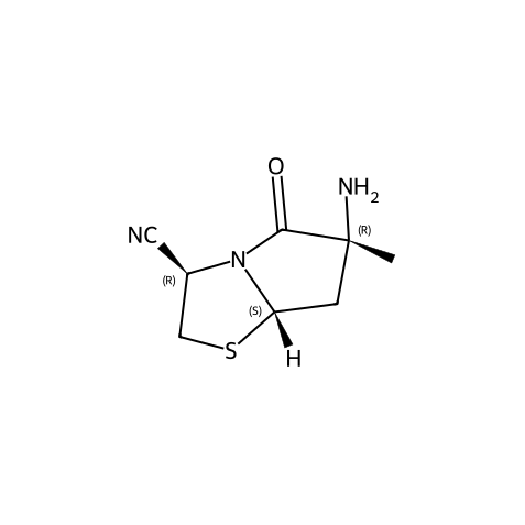 C[C@@]1(N)C[C@@H]2SC[C@@H](C#N)N2C1=O